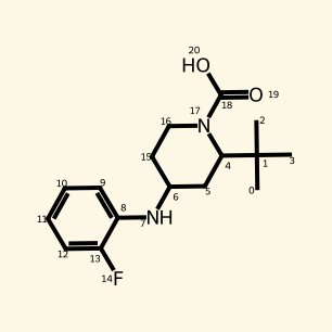 CC(C)(C)C1CC(Nc2ccccc2F)CCN1C(=O)O